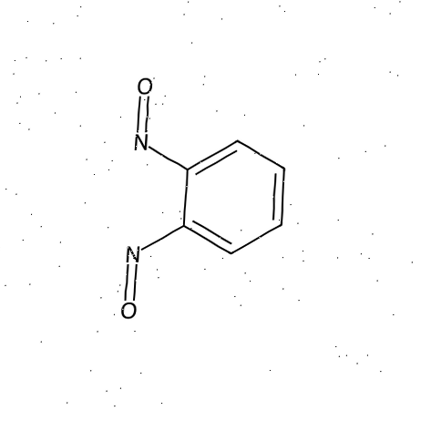 O=Nc1ccccc1N=O